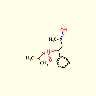 CC(CC(O[PH](=O)OC(C)C)c1ccccc1)=NO